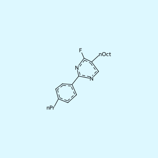 CCCCCCCCc1cnc(-c2ccc(CCC)cc2)nc1F